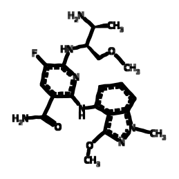 COC[C@@H](Nc1nc(Nc2cccc3c2c(OC)nn3C)c(C(N)=O)cc1F)[C@H](C)N